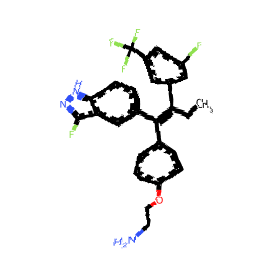 CCC(=C(c1ccc(OCCN)cc1)c1ccc2[nH]nc(F)c2c1)c1cc(F)cc(C(F)(F)F)c1